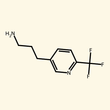 NCCCc1ccc(C(F)(F)F)nc1